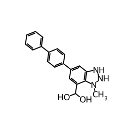 CN1NNc2cc(-c3ccc(-c4ccccc4)cc3)cc(C(O)O)c21